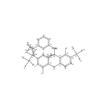 Cc1cc(C2(C(F)(F)F)CCC2)nc(F)c1Oc1nnc(C(F)(F)F)c(C)c1C(=O)Nc1cccc(S(C)(=O)=O)c1